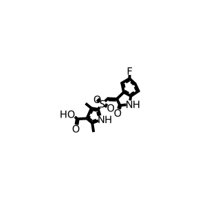 Cc1[nH]c(S(=O)(=O)C=C2C(=O)Nc3ccc(F)cc32)c(C)c1C(=O)O